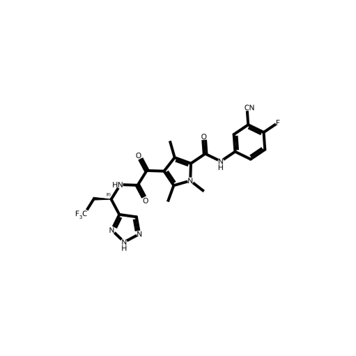 Cc1c(C(=O)C(=O)N[C@H](CC(F)(F)F)c2cn[nH]n2)c(C)n(C)c1C(=O)Nc1ccc(F)c(C#N)c1